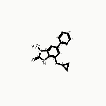 Cn1c(=O)[nH]c2c(CC3CC3)cc(-c3ccccc3)cc21